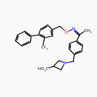 CC(=NOCc1ccc(-c2ccccc2)c(C(F)(F)F)c1)c1ccc(CN2CC(C(=O)O)C2)cc1